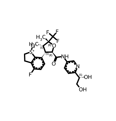 C[C@H]1[C@@H](c2ccc(F)c3c2[S+]([O-])CC3)[C@H](C(=O)Nc2ccc([C@H](O)CO)nc2)O[C@@]1(C)C(F)(F)F